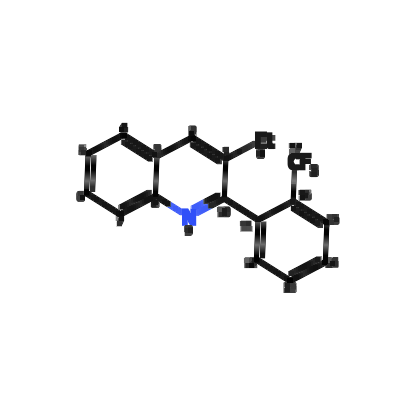 CCc1cc2ccccc2nc1-c1ccccc1C(F)(F)F